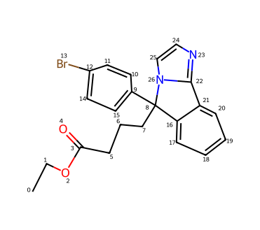 CCOC(=O)CCCC1(c2ccc(Br)cc2)c2ccccc2-c2nccn21